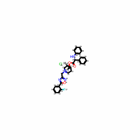 O=C(O[C@H]1C[N+]2(Cc3noc(-c4ccccc4F)n3)CCC1CC2)[C@H](Nc1ccccc1)c1ccccc1.[Cl-]